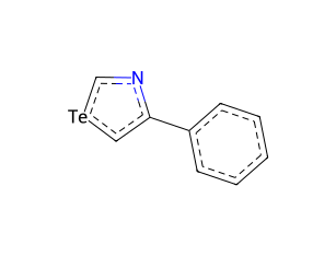 c1ccc(-c2c[te]cn2)cc1